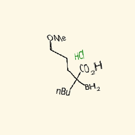 BC(CCCC)(CCCOC)C(=O)O.Cl